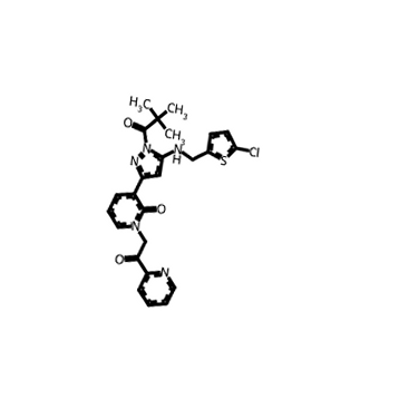 CC(C)(C)C(=O)n1nc(-c2cccn(CC(=O)c3ccccn3)c2=O)cc1NCc1ccc(Cl)s1